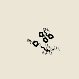 CCC[PH](c1ccccc1)(c1ccccc1)c1ccccc1.CCOC(=O)C(C)(C)CCCOc1ccc(OBr)cc1